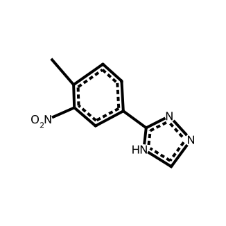 Cc1ccc(-c2nnc[nH]2)cc1[N+](=O)[O-]